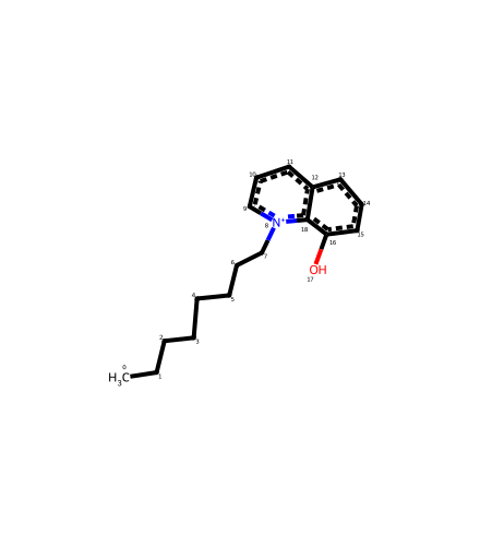 CCCCCCCC[n+]1cccc2cccc(O)c21